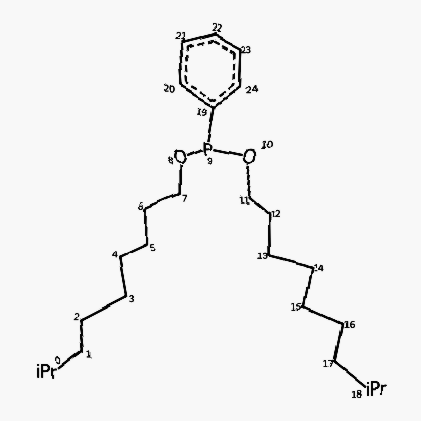 CC(C)CCCCCCCOP(OCCCCCCCC(C)C)c1ccccc1